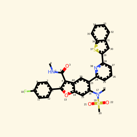 CNC(=O)c1c(-c2ccc(F)cc2)oc2cc(N(C)S(C)(=O)=O)c(-c3cccc(-c4cc5ccccc5s4)n3)cc12